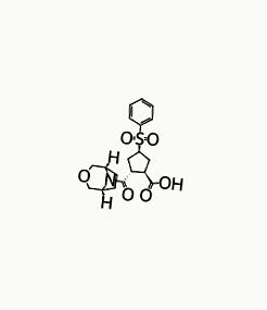 O=C(O)[C@@H]1C[C@H](S(=O)(=O)c2ccccc2)C[C@H]1C(=O)N1[C@@H]2CC[C@H]1COC2